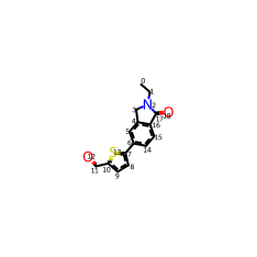 CCN1Cc2cc(-c3ccc(C=O)s3)ccc2C1=O